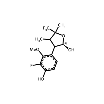 COc1c(C2C(C)C(C)(C(F)(F)F)O[C@H]2O)ccc(O)c1F